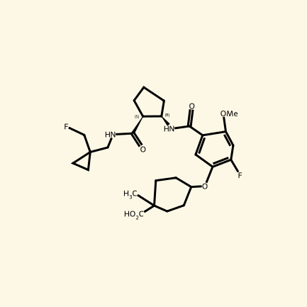 COc1cc(F)c(OC2CCC(C)(C(=O)O)CC2)cc1C(=O)N[C@@H]1CCC[C@@H]1C(=O)NCC1(CF)CC1